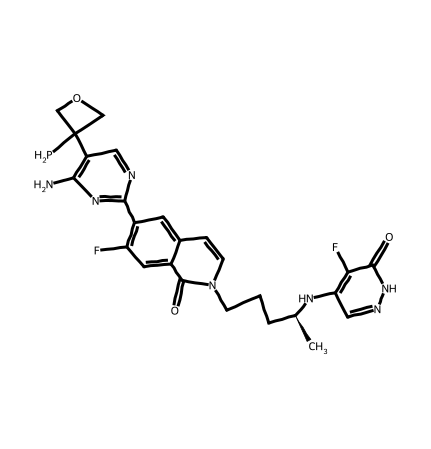 C[C@@H](CCCn1ccc2cc(-c3ncc(C4(P)COC4)c(N)n3)c(F)cc2c1=O)Nc1cn[nH]c(=O)c1F